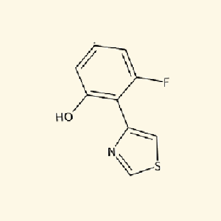 Oc1c[c]cc(F)c1-c1cscn1